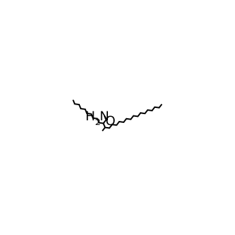 CCCCCCCCCCCCCCCCC(C)C(CCCCCCCCCC)C(N)=O